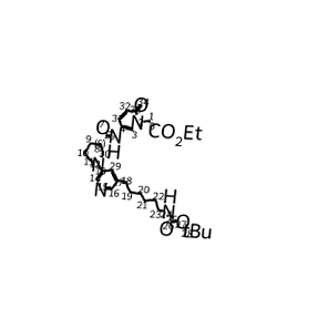 CCOC(=O)Cn1cc(NC(=O)[C@H]2CCCN(c3cncc(CCCCCCNC(=O)OC(C)(C)C)c3)C2)ccc1=O